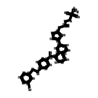 CS(=O)(=O)CCNCc1cnc(-c2cc3c(Nc4ccc(OCc5cccc(F)c5)cc4)ncnc3cn2)s1